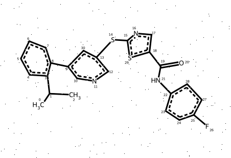 CC(C)c1ccccc1-c1cncc(Sc2ncc(C(=O)Nc3ccc(F)cc3)s2)c1